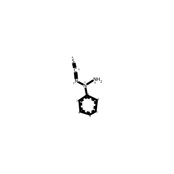 NN(N=C=S)c1ccccc1